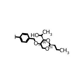 CCC[C@H]1OC[C@@H](OCc2ccc(I)cc2)[C@@H](C(C)O)O1